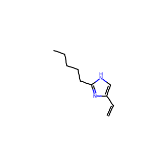 C=Cc1c[nH]c(CCCCC)n1